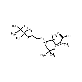 C[C@H]1[C@H]([C@@H](C)C(=O)O)OC(C)(C)O[C@@H]1CCCO[Si](C)(C)C(C)(C)C